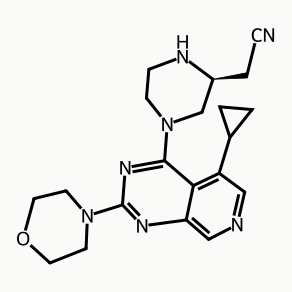 N#CC[C@H]1CN(c2nc(N3CCOCC3)nc3cncc(C4CC4)c23)CCN1